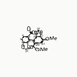 COC(=O)c1ccc2c(c1-c1c(C(=O)OC)cc(OC)c3c1OCO3)OCO2